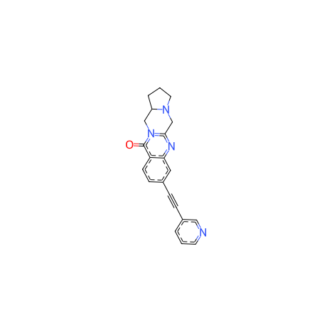 O=c1c2ccc(C#Cc3cccnc3)cc2nc2n1CC1CCCN1C2